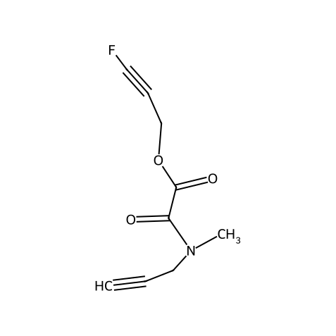 C#CCN(C)C(=O)C(=O)OCC#CF